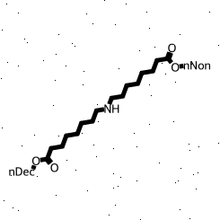 CCCCCCCCCCOC(=O)CCCCCCCNCCCCCCCC(=O)OCCCCCCCCC